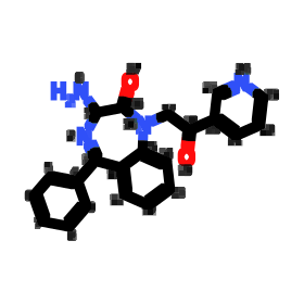 NC1N=C(c2ccccc2)c2ccccc2N(CC(=O)c2cccnc2)C1=O